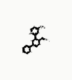 C=Cc1ccc(-c2ccccc2)cc1-c1cc(C)ccn1